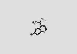 [2H]c1cc2nccc(C(C)C)c2o1